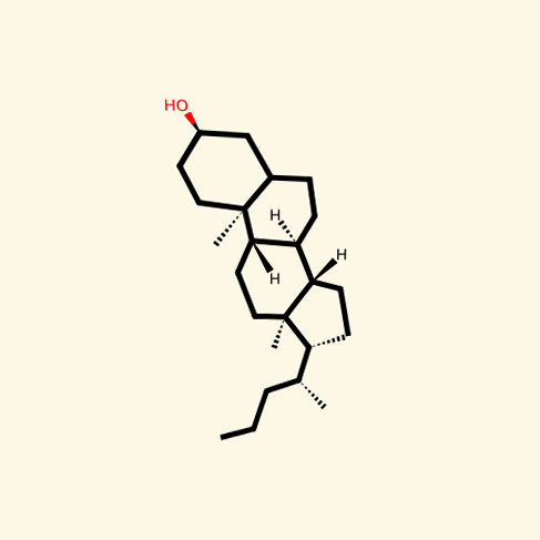 CCC[C@@H](C)[C@H]1CC[C@H]2[C@@H]3CCC4C[C@H](O)CC[C@]4(C)[C@H]3CC[C@]12C